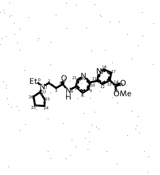 CCN(CCC(=O)Nc1ccc(-c2cc(C(=O)OC)ccn2)nc1)C1CCCC1